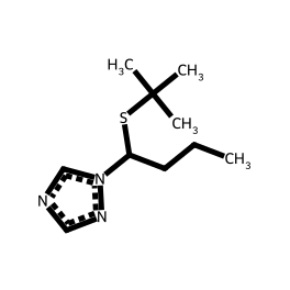 CCCC(SC(C)(C)C)n1cncn1